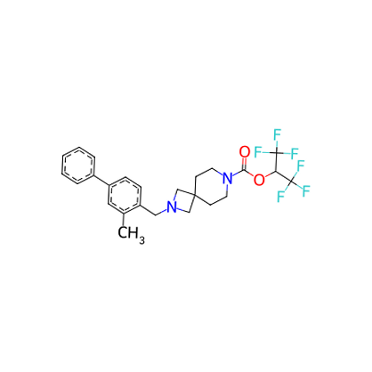 Cc1cc(-c2ccccc2)ccc1CN1CC2(CCN(C(=O)OC(C(F)(F)F)C(F)(F)F)CC2)C1